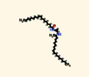 C=C(CCCCCCC/C=C\CCCCCCCC)N[C@H]1C[C@H]1NC(=O)CCCCCCC/C=C\CCCCCCCC